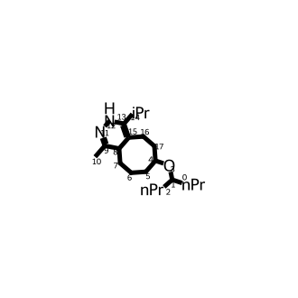 CCCC(CCC)OC1CCCC2C(C)=NNC(C(C)C)=C2CC1